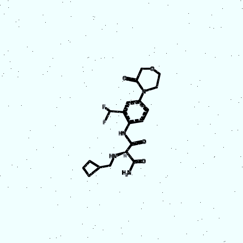 NC(=O)[C@@H](NCC1CCC1)C(=O)Nc1ccc(N2CCOCC2=O)cc1C(F)F